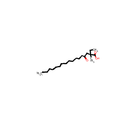 CCCCCCCCCCCCCCC(=O)CC(C)(CC)C(=O)O